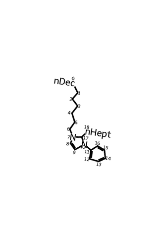 CCCCCCCCCCCCCCCCN1C=CN(c2ccccc2)C1CCCCCCC